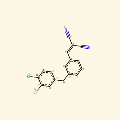 N#CC(C#N)=Cc1cccc(Cc2ccc(Cl)c(Cl)c2)c1